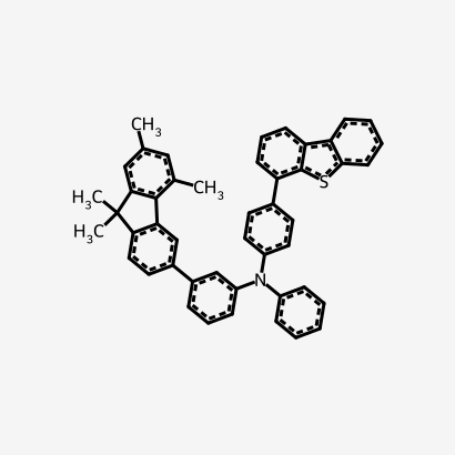 Cc1cc(C)c2c(c1)C(C)(C)c1ccc(-c3cccc(N(c4ccccc4)c4ccc(-c5cccc6c5sc5ccccc56)cc4)c3)cc1-2